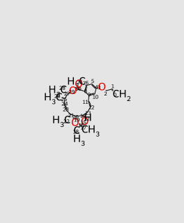 C=CCOc1cc(C)c2c(c1)/C=C/C[C@@H]1OC(C)(C)OC1[C@H](C)/C=C\[C@@H](C)[C@H](C)OC2=O